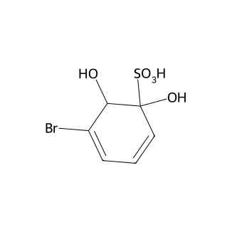 O=S(=O)(O)C1(O)C=CC=C(Br)C1O